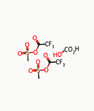 CS(=O)(=O)OC(=O)C(F)(F)F.CS(=O)(=O)OC(=O)C(F)(F)F.O=C(O)O